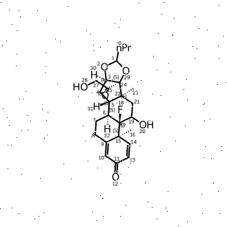 CCCC1O[C@@H]2C[C@H]3[C@@H]4CCC5=CC(=O)C=C[C@]5(C)[C@@]4(F)C(O)C[C@]3(C)[C@]2(C(=O)CO)O1